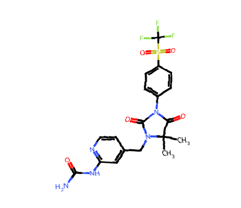 CC1(C)C(=O)N(c2ccc(S(=O)(=O)C(F)(F)F)cc2)C(=O)N1Cc1ccnc(NC(N)=O)c1